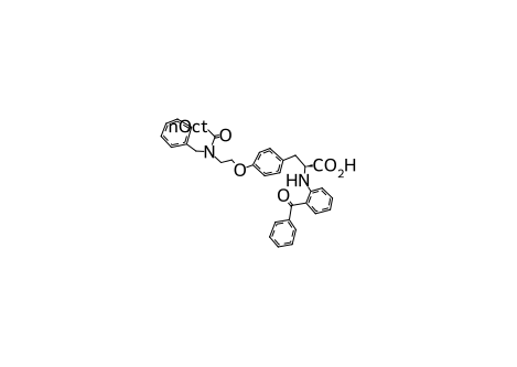 CCCCCCCCC(=O)N(CCOc1ccc(C[C@H](Nc2ccccc2C(=O)c2ccccc2)C(=O)O)cc1)Cc1ccccc1